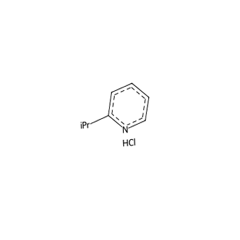 CC(C)c1ccccn1.Cl